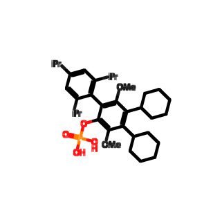 COc1c(OP(=O)(O)O)c(-c2c(C(C)C)cc(C(C)C)cc2C(C)C)c(OC)c(C2CCCCC2)c1C1CCCCC1